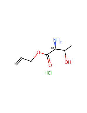 C=CCOC(=O)[C@@H](N)C(C)O.Cl